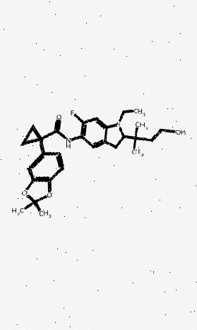 CCN1c2cc(F)c(NC(=O)C3(c4ccc5c(c4)OC(C)(C)O5)CC3)cc2CC1C(C)(C)CCO